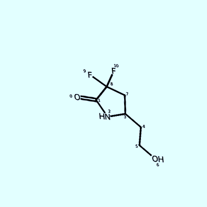 O=C1NC(CCO)CC1(F)F